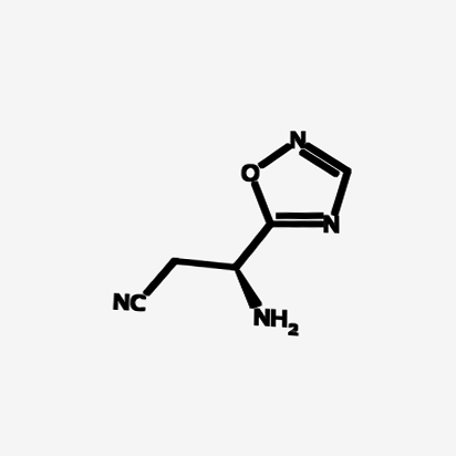 N#CC[C@H](N)c1ncno1